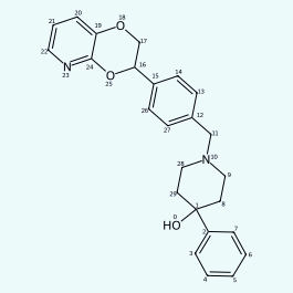 OC1(c2ccccc2)CCN(Cc2ccc(C3COc4cccnc4O3)cc2)CC1